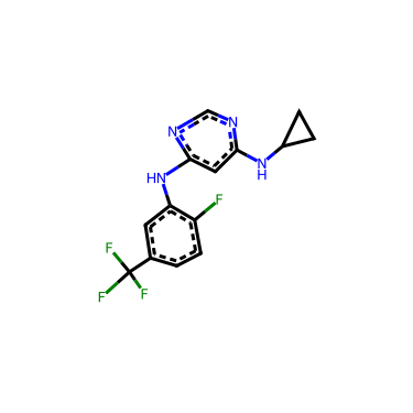 Fc1ccc(C(F)(F)F)cc1Nc1cc(NC2CC2)ncn1